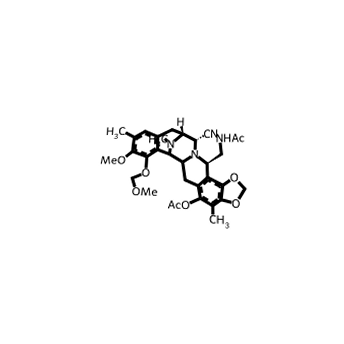 COCOc1c(OC)c(C)cc2c1C1C3Cc4c(OC(C)=O)c(C)c5c(c4[C@H](CNC(C)=O)N3[C@@H](C#N)[C@@H](C2)N1C)OCO5